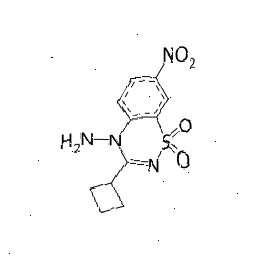 NN1C(C2CCC2)=NS(=O)(=O)c2cc([N+](=O)[O-])ccc21